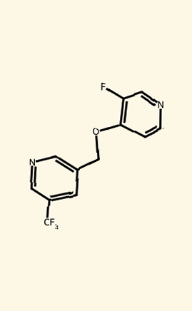 Fc1cn[c]cc1OCc1cncc(C(F)(F)F)c1